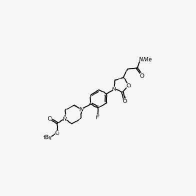 CNC(=O)CC1CN(c2ccc(N3CCN(C(=O)OC(C)(C)C)CC3)c(F)c2)C(=O)O1